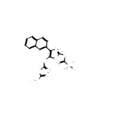 Nc1nnc(Sc2c(-c3ccc4ccccc4c3)nc3sc(S(N)(=O)=O)nn23)s1